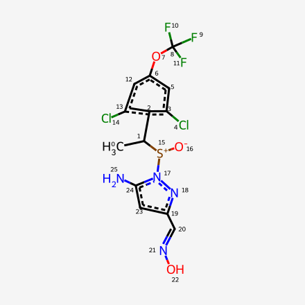 CC(c1c(Cl)cc(OC(F)(F)F)cc1Cl)[S+]([O-])n1nc(/C=N/O)cc1N